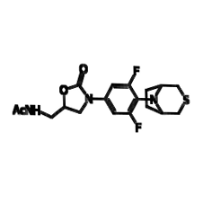 CC(=O)NCC1CN(c2cc(F)c(N3C4CCC3CSC4)c(F)c2)C(=O)O1